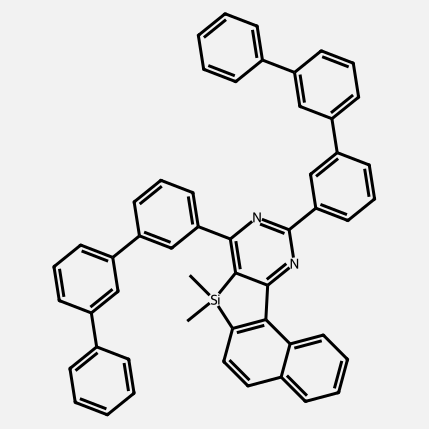 C[Si]1(C)c2ccc3ccccc3c2-c2nc(-c3cccc(-c4cccc(-c5ccccc5)c4)c3)nc(-c3cccc(-c4cccc(-c5ccccc5)c4)c3)c21